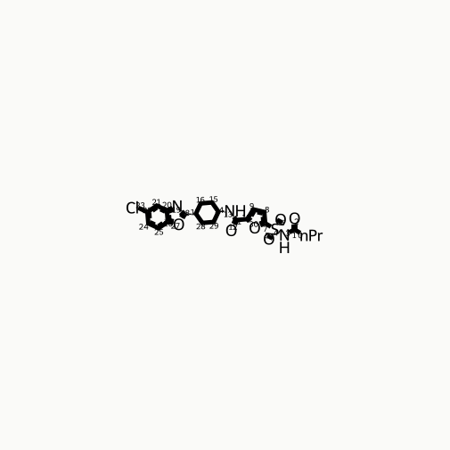 CCCC(=O)NS(=O)(=O)c1ccc(C(=O)N[C@H]2CC[C@@H](c3nc4cc(Cl)ccc4o3)CC2)o1